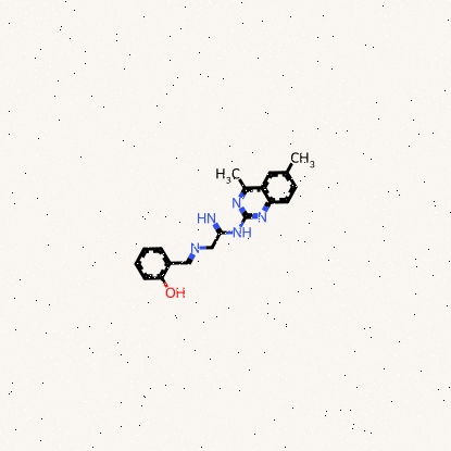 Cc1ccc2nc(NC(=N)C/N=C/c3ccccc3O)nc(C)c2c1